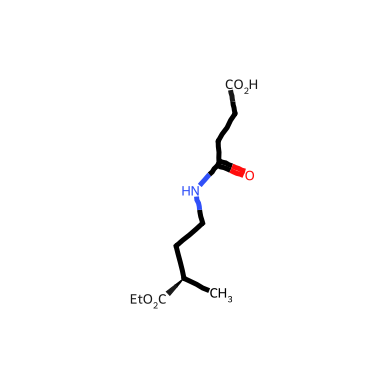 CCOC(=O)[C@H](C)CCNC(=O)CCC(=O)O